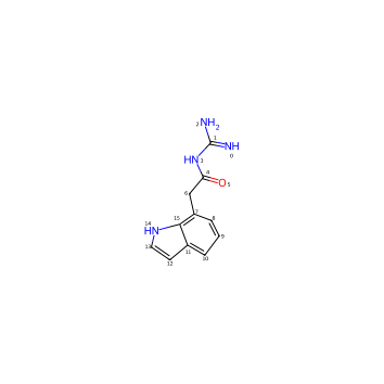 N=C(N)NC(=O)Cc1cccc2cc[nH]c12